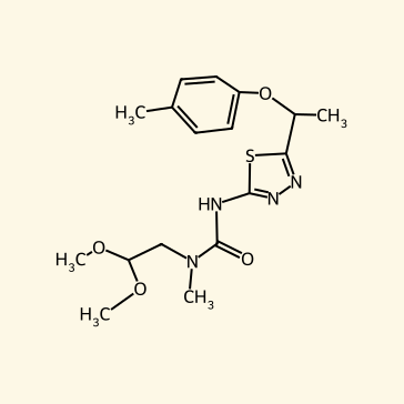 COC(CN(C)C(=O)Nc1nnc(C(C)Oc2ccc(C)cc2)s1)OC